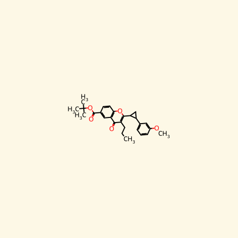 CCCc1c(C2CC2c2cccc(OC)c2)oc2ccc(C(=O)OC(C)(C)C)cc2c1=O